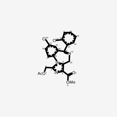 COC(=O)c1nc(COC(C)=O)n2c1CN=C(c1ccccc1Cl)c1cc(Cl)ccc1-2